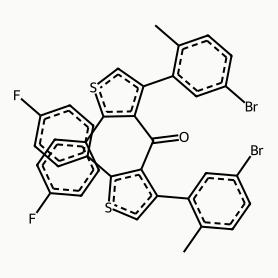 Cc1ccc(Br)cc1-c1csc(-c2ccc(F)cc2)c1C(=O)c1c(-c2cc(Br)ccc2C)csc1-c1ccc(F)cc1